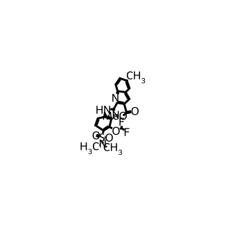 COC(=O)c1cc2cc(C)ccc2nc1-c1nc2c(OC(F)F)c(S(=O)(=O)N(C)C)ccc2[nH]1